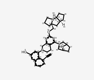 C#Cc1cccc2cc(O)cc(N3CCc4c(nc(OC[C@@]56CCCN5[C@H]5CCC[C@H]5C6)nc4N4CC5CCC(C4)N5)C3)c12